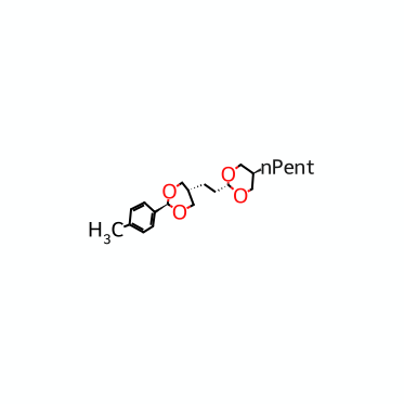 CCCCC[C@H]1CO[C@H](CC[C@H]2CO[C@H](c3ccc(C)cc3)OC2)OC1